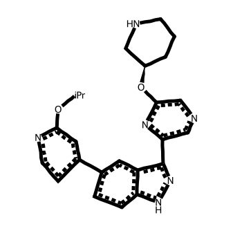 CC(C)Oc1cc(-c2ccc3[nH]nc(-c4cncc(O[C@@H]5CCCNC5)n4)c3c2)ccn1